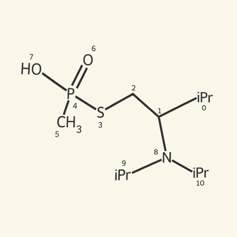 CC(C)C(CSP(C)(=O)O)N(C(C)C)C(C)C